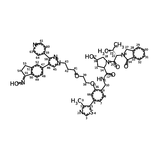 Cc1ncsc1-c1ccc(CNC(=O)C2C[C@@H](O)CN2C(=O)[C@H](C(C)C)N2Cc3ccccc3C2=O)c(OCCOCCCn2cc(-c3ccc4c(c3)CC/C4=N\O)c(-c3ccncc3)n2)c1